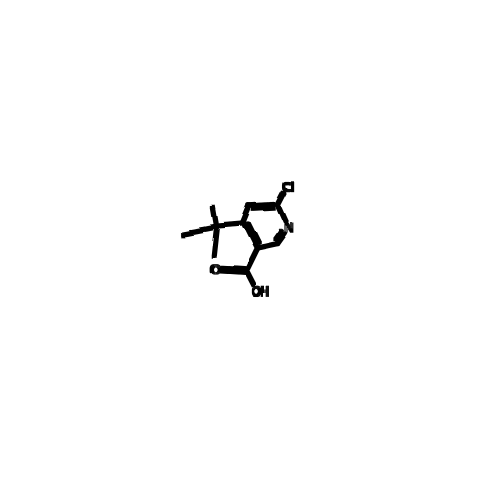 CC(C)(C)c1cc(Cl)ncc1C(=O)O